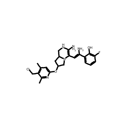 Cc1cc(OC2CC3CNC(N)=C(/C=C(\N)c4cccc(F)c4O)N3C2)nc(C)c1CCl